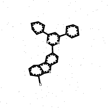 Clc1cccc2c1sc1ccc(-c3nc(-c4ccccc4)cc(-c4ccccc4)n3)cc12